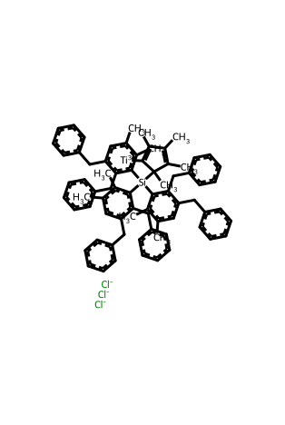 CC1=C(C)C(C)([Si](c2c(C)c(C)cc(Cc3ccccc3)c2Cc2ccccc2)(c2c(C)c(C)cc(Cc3ccccc3)c2Cc2ccccc2)c2c(C)c(C)cc(Cc3ccccc3)c2Cc2ccccc2)[C]([Ti+3])=C1C.[Cl-].[Cl-].[Cl-]